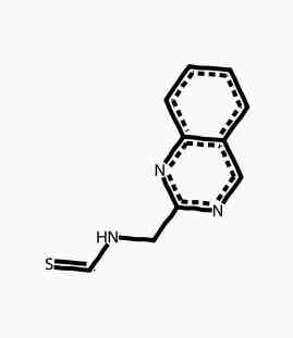 S=[C]NCc1ncc2ccccc2n1